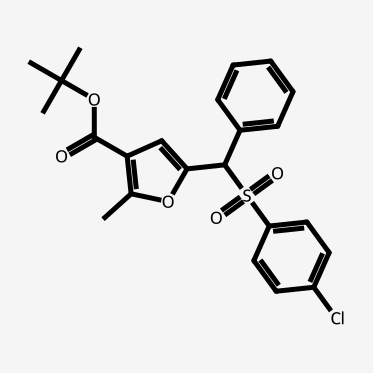 Cc1oc(C(c2ccccc2)S(=O)(=O)c2ccc(Cl)cc2)cc1C(=O)OC(C)(C)C